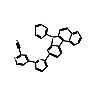 N#Cc1cc(-c2cccc(-c3ccc4c5c6ccccc6ccc5n(-c5ccccc5)c4c3)n2)ccn1